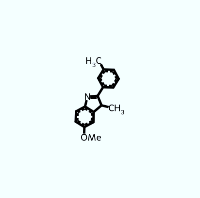 COc1ccc2c(c1)C(C)C(c1cccc(C)c1)=N2